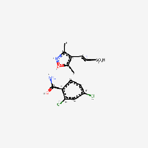 Cc1noc(C)c1/C=C/S(=O)(=O)O.NC(=O)c1ccc(Cl)cc1Cl